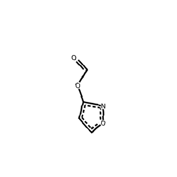 O=COc1ccon1